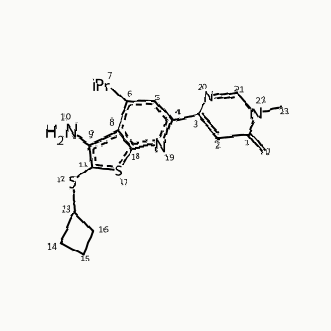 C=C1C=C(c2cc(C(C)C)c3c(N)c(SC4CCC4)sc3n2)N=CN1C